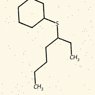 CCCCC(CC)SC1CCCCC1